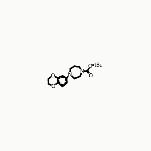 CC(C)(C)OC(=O)N1CCCN(c2ccc3c(c2)OCCO3)CC1